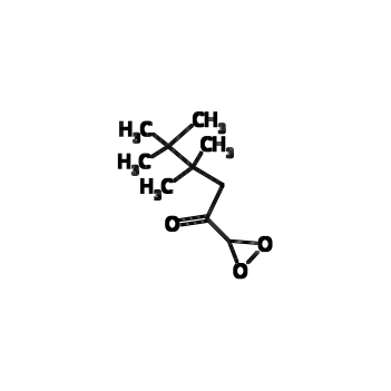 CC(C)(C)C(C)(C)CC(=O)C1OO1